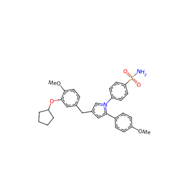 COc1ccc(-c2cc(Cc3ccc(OC)c(OC4CCCC4)c3)cn2-c2ccc(S(N)(=O)=O)cc2)cc1